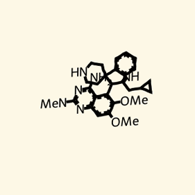 CNc1nc(N)c2c(C(C(=N)CC3CC3)C3(c4ccccc4)CCNCC3)c(OC)c(OC)cc2n1